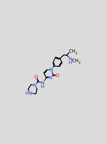 CNC(C)Cc1ccc(-n2ccc(NC(=O)N3CCNCC3)nc2=O)cc1